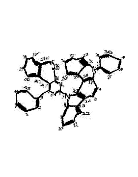 c1ccc(-c2nc(-n3c4ccccc4c4ccc5c(c6ccccc6n5-c5ccccc5)c43)nc3sc4ccccc4c23)cc1